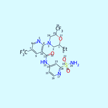 CCC1CN(c2ncc(C(F)(F)F)cc2C(=O)Nc2ccnc(S(N)(=O)=O)c2)CC(C(F)(F)F)O1